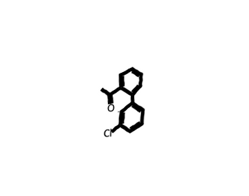 CC(=O)c1ccccc1-c1[c]c(Cl)ccc1